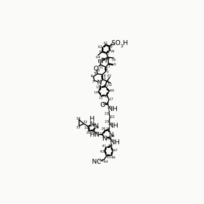 C=C(C1=CC2=C3N(CCC2OC1CCC)c1ccc(CC(=O)NCCCNc2cc(Nc4cc(C5CC5)[nH]n4)nc(Nc4ccc(CC#N)cc4)n2)cc1C3(C)C)C(C)(C)c1cc(S(=O)(=O)O)ccc1C